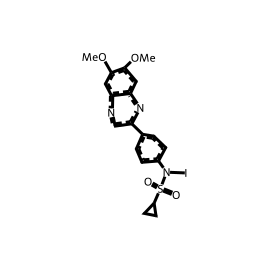 COc1cc2ncc(-c3ccc(N(I)S(=O)(=O)C4CC4)cc3)nc2cc1OC